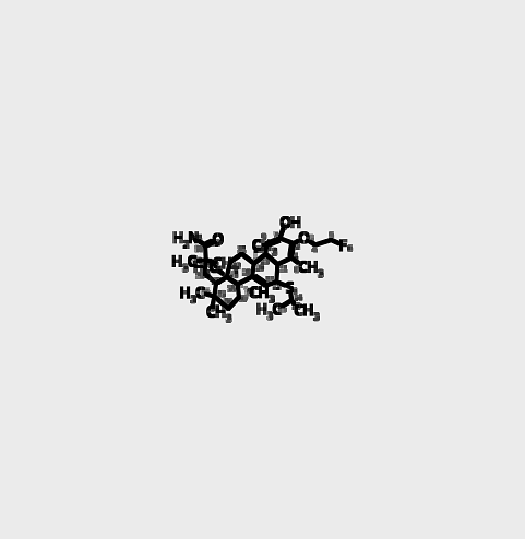 CC1=C(OCCF)C(O)=CC2C1C(SC(C)C)C=C1[C@@]2(C)CC[C@@]2(C)[C@H](CC(C)(C)C(N)=O)C(C)(C)CC[C@]12C